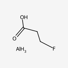 O=C(O)CCF.[AlH3]